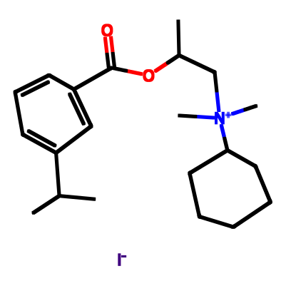 CC(C[N+](C)(C)C1CCCCC1)OC(=O)c1cccc(C(C)C)c1.[I-]